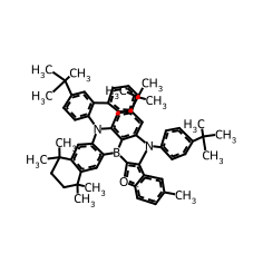 Cc1ccc2oc3c(c2c1)N(c1ccc(C(C)(C)C)cc1)c1cc(C(C)(C)C)cc2c1B3c1cc3c(cc1N2c1ccc(C(C)(C)C)cc1-c1ccccc1)C(C)(C)CCC3(C)C